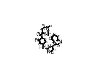 C[C@@H](CC(=N)C(=O)c1ccc(Nc2nccc(-c3cnc4ccccn34)n2)cc1F)N(C)C